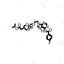 CC(C)OC(=O)CC1COP(=O)(CO[C@H](C)Cn2cnc3c(NC(=O)c4ccc(F)cc4)ncnc32)OC1